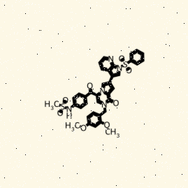 COc1ccc(Cn2cc(C(=O)c3ccc(NS(C)(=O)=O)cc3)n3cc(-c4cn(S(=O)(=O)c5ccccc5)c5ncccc45)cc3c2=O)c(OC)c1